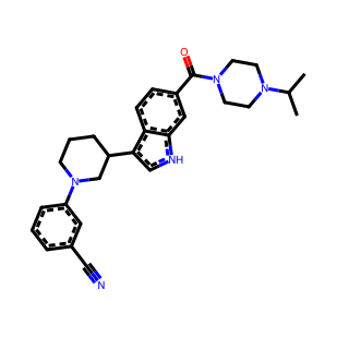 CC(C)N1CCN(C(=O)c2ccc3c(C4CCCN(c5cccc(C#N)c5)C4)c[nH]c3c2)CC1